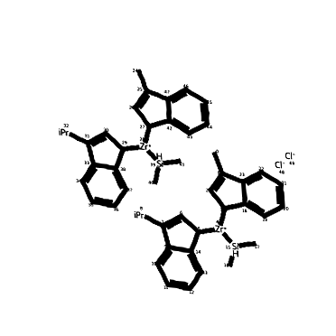 CC1=C[CH]([Zr+]([CH]2C=C(C(C)C)c3ccccc32)[SiH](C)C)c2ccccc21.CC1=C[CH]([Zr+]([CH]2C=C(C(C)C)c3ccccc32)[SiH](C)C)c2ccccc21.[Cl-].[Cl-]